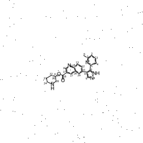 Cc1cccc(-c2[nH]ncc2-c2ccc3ncc(C(=O)O[C@@H]4CCCNC4)cc3c2)n1